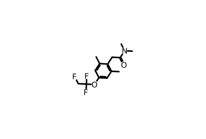 Cc1cc(OC(F)(F)CF)cc(C)c1CC(=O)N(C)C